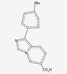 CC(C)(C)c1ccc(-c2ncn3cc(C(=O)O)ccc23)cc1